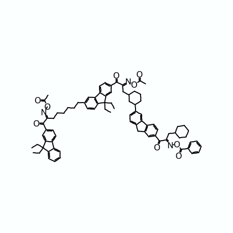 CCC1(CC)c2ccccc2-c2ccc(C(=O)/C(CCCCCCc3ccc4c(c3)-c3ccc(C(=O)/C(CC5CCCC(c6ccc7c(c6)-c6ccc(C(=O)/C(CC8CCCCC8)=N/OC(=O)c8ccccc8)cc6C7)C5)=N/OC(C)=O)cc3C4(CC)CC)=N/OC(C)=O)cc21